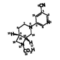 N#Cc1cncc(N2CC[C@H]3CN(C(=O)O)[C@H]3C2)c1